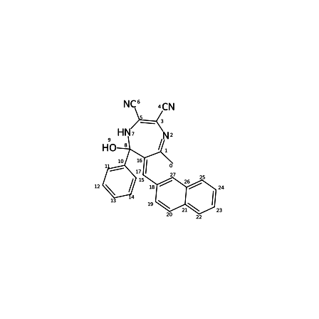 CC1=NC(C#N)=C(C#N)NC(O)(c2ccccc2)C1=Cc1ccc2ccccc2c1